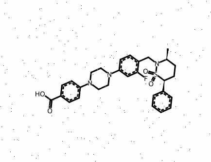 C[C@H]1CC[C@@H](c2ccccc2)S(=O)(=O)N1Cc1ccc(N2CCN(c3ccc(C(=O)O)cc3)CC2)cc1F